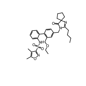 CCCCC1=NC2(CCCC2)C(=O)N1Cc1ccc(-c2ccccc2NS(=O)(=O)c2noc(C)c2C)c(COCC)c1